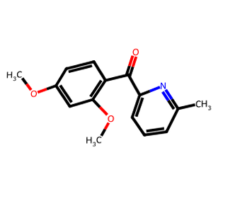 COc1ccc(C(=O)c2cccc(C)n2)c(OC)c1